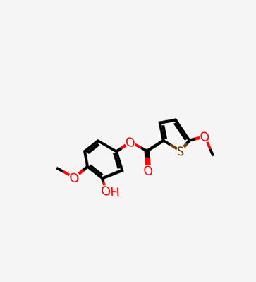 COc1ccc(C(=O)Oc2ccc(OC)c(O)c2)s1